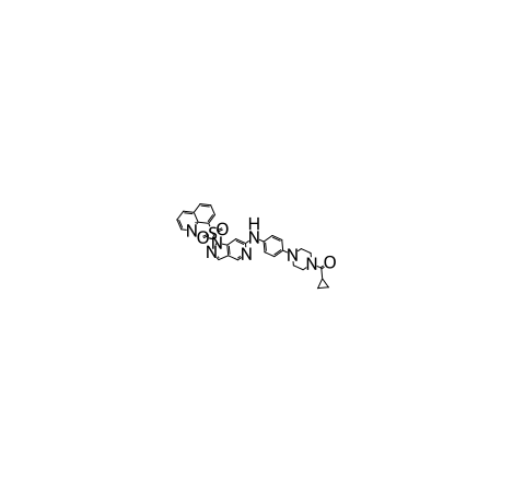 O=C(C1CC1)N1CCN(c2ccc(Nc3cc4c(cn3)cnn4S(=O)(=O)c3cccc4cccnc34)cc2)CC1